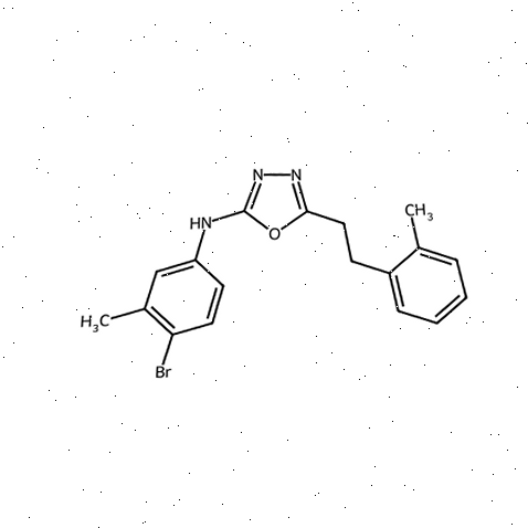 Cc1cc(Nc2nnc(CCc3ccccc3C)o2)ccc1Br